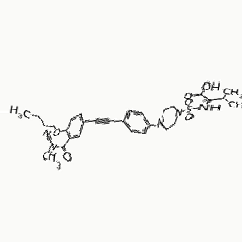 CCCCOc1ccc(C#Cc2ccc(N3CCN(S(=O)(=O)N[C@@H](C(=O)O)C(C)C)CC3)cc2)cc1C(=O)N(C)C#N